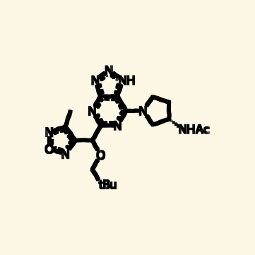 CC(=O)N[C@H]1CCN(c2nc(C(OCC(C)(C)C)c3nonc3C)nc3nn[nH]c23)C1